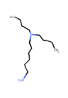 CCCCN(CCCC)CCCCCCN